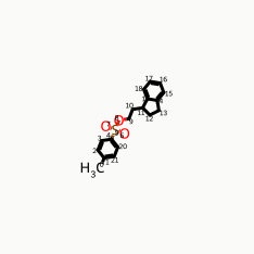 Cc1ccc(S(=O)(=O)OCCC2CCc3ccccc32)cc1